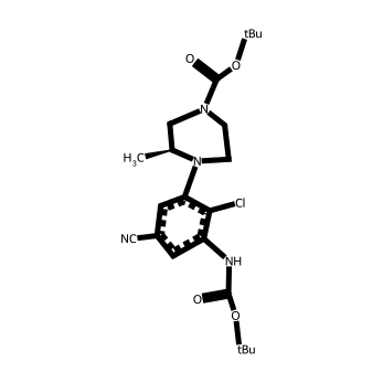 C[C@H]1CN(C(=O)OC(C)(C)C)CCN1c1cc(C#N)cc(NC(=O)OC(C)(C)C)c1Cl